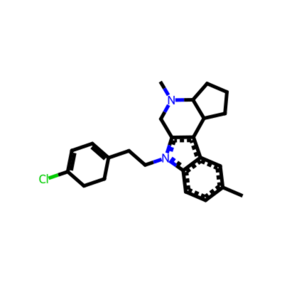 Cc1ccc2c(c1)c1c(n2CCC2=CC=C(Cl)CC2)CN(C)C2CCCC12